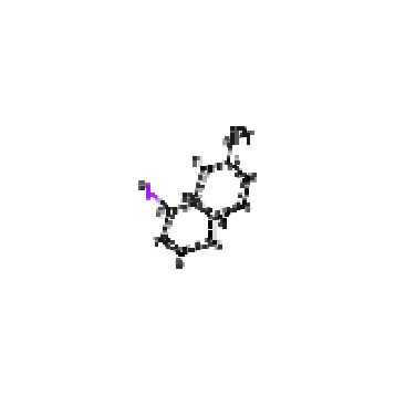 CC(C)c1ccc2cccc(I)c2c1